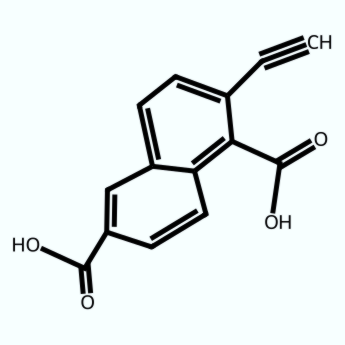 C#Cc1ccc2cc(C(=O)O)ccc2c1C(=O)O